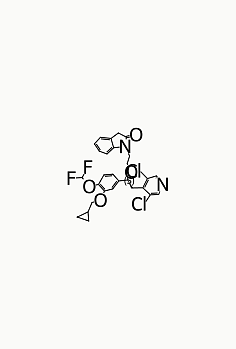 O=C1Cc2ccccc2N1CCO[C@@H](Cc1c(Cl)cncc1Cl)c1ccc(OC(F)F)c(OCC2CC2)c1